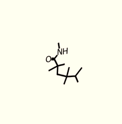 CNC(=O)C(C)(C)CC(C)(C)C(C)C